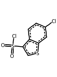 O=S(=O)(Cl)c1csc2cc(Cl)ccc12